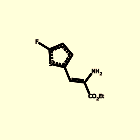 CCOC(=O)/C(N)=C/c1ccc(F)s1